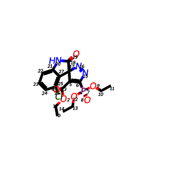 CCOC(=O)C1=C(P(=O)(OCC)OCC)N=NC12C(=O)Nc1cccc(Cl)c12